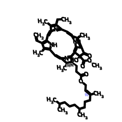 C=Cc1c(C)c2cc3nc(c4c5[nH]c(cc6nc(cc1[nH]2)C(C)=C6CC)c(C)c5C(=O)[C@@]4(O)C(=O)OC)[C@@H](CCC(=O)OC/C=C(\C)CCCC(C)CCCC(C)C)[C@@H]3C